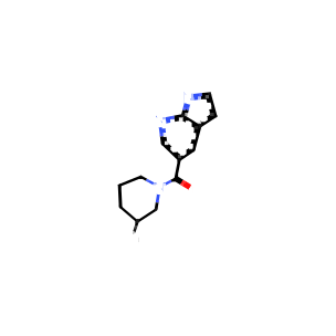 CCC1CCCN(C(=O)c2cnc3[nH]ccc3c2)C1